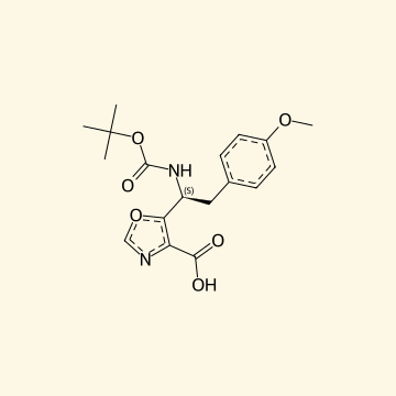 COc1ccc(C[C@H](NC(=O)OC(C)(C)C)c2ocnc2C(=O)O)cc1